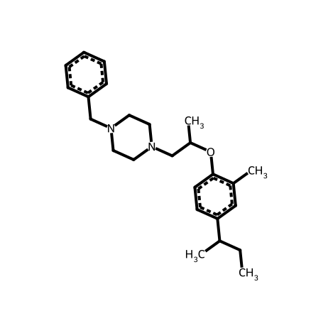 CCC(C)c1ccc(OC(C)CN2CCN(Cc3ccccc3)CC2)c(C)c1